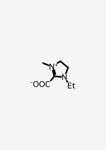 CCN1CC[N+](C)=C1C(=O)[O-]